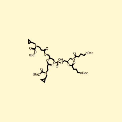 CCCCCCCCCCCCCC(=O)OC[C@H](COP(=O)(O)OCC(COC(=O)CCN(CC1CC1)C(=O)OC(C)(C)C)OC(=O)CCN(CC1CC1)C(=O)OC(C)(C)C)OC(=O)CCCCCCCCCCCCC